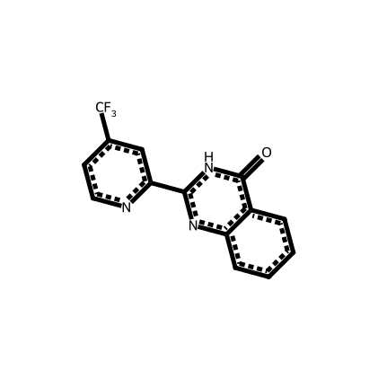 O=c1[nH]c(-c2cc(C(F)(F)F)ccn2)nc2ccccc12